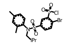 Cc1ccc(N(CC(C)C)S(=O)(=O)c2ccc(Br)c(S(=O)(=O)Cl)c2)c(C)c1